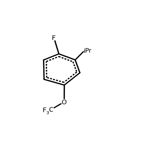 [CH2]C(C)c1cc(OC(F)(F)F)ccc1F